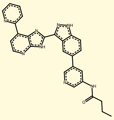 CCCC(=O)Nc1cncc(-c2ccc3[nH]nc(-c4nc5c(-c6ccccn6)ccnc5[nH]4)c3c2)c1